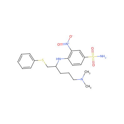 CN(C)CCCC(CSc1ccccc1)Nc1ccc(S(N)(=O)=O)cc1[N+](=O)[O-]